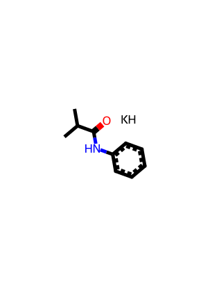 CC(C)C(=O)Nc1ccccc1.[KH]